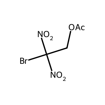 CC(=O)OCC(Br)([N+](=O)[O-])[N+](=O)[O-]